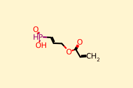 C=CC(=O)OCC=C[PH](=O)O